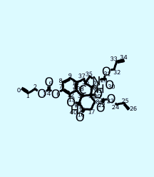 C=CCOC(=O)Oc1ccc2c3c1O[C@H]1C(=O)CCC4(OC(=O)OCC=C)[C@@H]5N(C(=O)OCC=C)CC5(C2)CC314